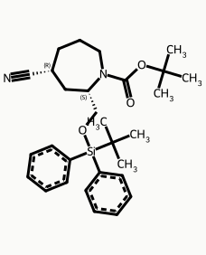 CC(C)(C)OC(=O)N1CCC[C@@H](C#N)C[C@H]1CO[Si](c1ccccc1)(c1ccccc1)C(C)(C)C